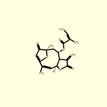 C=C1C(=O)O[C@H]2/C=C(/C)C3=CC(=O)[C@@](C)(C[C@@H](OC(=O)/C(C)=C\C)C12)O3